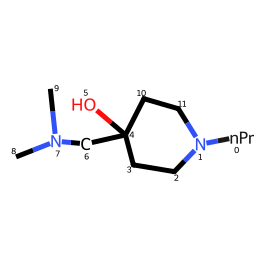 CCCN1CCC(O)(CN(C)C)CC1